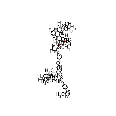 Cc1ncsc1-c1ccc(CNC(=O)[C@@H]2C[C@@H](O[Si](C)(C)C(C)(C)C)CN2C(=O)[C@@H](c2cc(OCC3CCN(C[C@@]4(COc5nc(N6C[C@H]7CC[C@@H](C6)N7C(=O)OC(C)(C)C)c6cc(Cl)c(-c7ccc(F)c8sc(NC(=O)OC(C)(C)C)c(C#N)c78)c(F)c6n5)CC4(F)F)CC3)no2)C(C)C)cc1